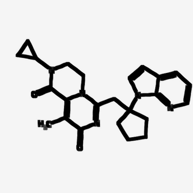 Cc1c2n(c(CC3(n4ccc5cccnc54)CCCC3)nc1=O)CCN(C1CC1)C2=O